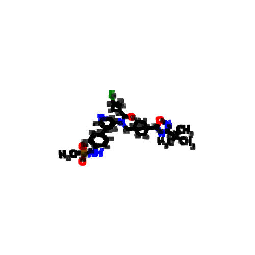 CC(C)(C)c1noc(C23CCC(CN(C(=O)C45CC(F)(C4)C5)c4cncc(-c5ccc(NS(C)(=O)=O)cc5)c4)(CC2)CC3)n1